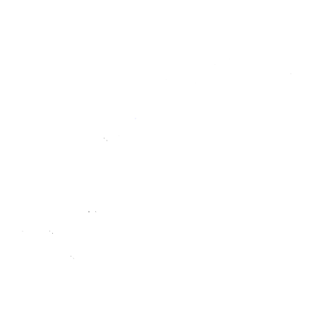 CCCCOCCOc1ccc(-c2cccc(/C=C/C(=O)Nc3ccc([S@@+]([O-])Cc4cncn4CC(C)C)cc3)c2)cc1